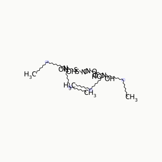 CCCCCCCC/C=C\CCCCCCC(O)CN(CCCCSSCCN1CCN(CCOC(=O)CCCN(CC(O)CCCCCC/C=C\CCCCCCCC)CC(O)CCCCCC/C=C\CCCCCCCC)CC1)CC(O)CCCCCC/C=C\CCCCCCCC